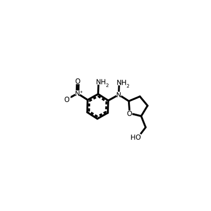 Nc1c(N(N)C2CCC(CO)O2)cccc1[N+](=O)[O-]